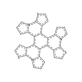 c1cc2c3c(c4ccsc4n2c1)c1c(c2ccsc2n2cccc12)c1c3c2ccsc2n2cccc12